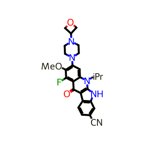 COc1c(N2CCN(C3COC3)CC2)cc2c(c1F)c(=O)c1c3ccc(C#N)cc3[nH]c1n2C(C)C